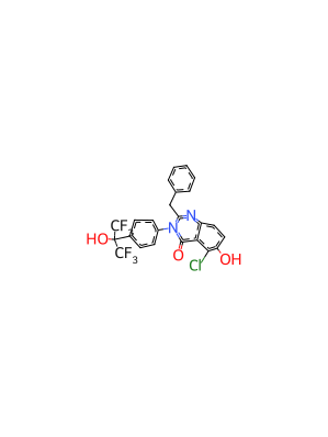 O=c1c2c(Cl)c(O)ccc2nc(Cc2ccccc2)n1-c1ccc(C(O)(C(F)(F)F)C(F)(F)F)cc1